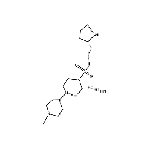 CN1CCC(N2CCN(S(=O)(=O)CCC[C@@H]3CCCN3)CC2)CC1.Cl.Cl.Cl